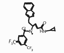 CN(C(=O)c1cc(C(F)(F)F)cc(C(F)(F)F)c1)C(C=CC(=O)NC1CC1)Cc1ccc2ccccc2c1